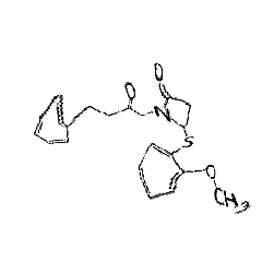 COc1ccccc1SC1CC(=O)N1CC(=O)CCc1ccccc1